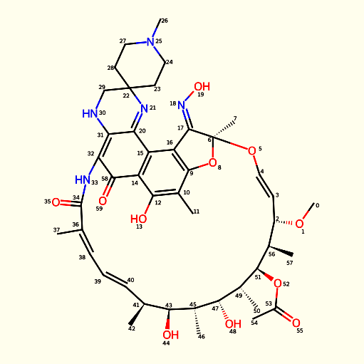 CO[C@H]1/C=C/O[C@@]2(C)Oc3c(C)c(O)c4c(c3/C2=N/O)C2=NC3(CCN(C)CC3)CNC2=C(NC(=O)/C(C)=C\C=C\[C@H](C)[C@H](O)[C@@H](C)[C@@H](O)[C@@H](C)[C@H](OC(C)=O)[C@@H]1C)C4=O